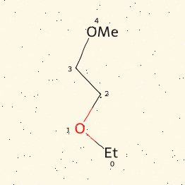 CCO[CH]COC